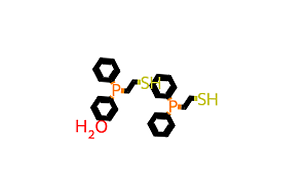 O.SCCP(c1ccccc1)c1ccccc1.SCCP(c1ccccc1)c1ccccc1